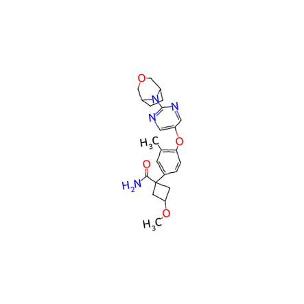 COC1CC(C(N)=O)(c2ccc(Oc3cnc(N4C5CCC4COC5)nc3)c(C)c2)C1